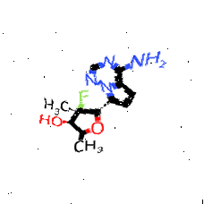 CC1O[C@@H](c2ccc3c(N)ncnn23)[C@](C)(F)[C@@H]1O